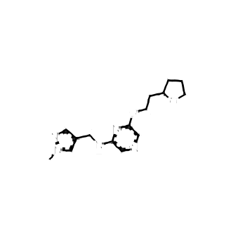 Cn1cc(CNc2cncc(OCCC3CCCO3)n2)cn1